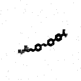 C[SiH2]CCC[C@H]1CC[C@H](CC[C@H]2CC[C@H](c3ccc(C(F)F)cc3)CC2)CC1